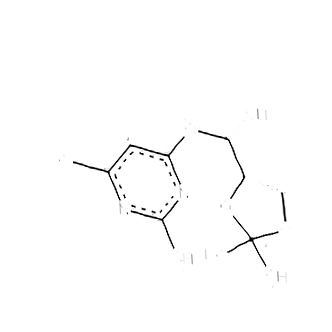 C[C@@H](Oc1cc(Cl)nc(S)n1)[C@@H]1COC(C)(C)O1